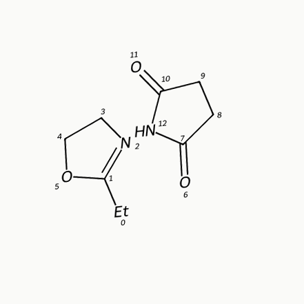 CCC1=NCCO1.O=C1CCC(=O)N1